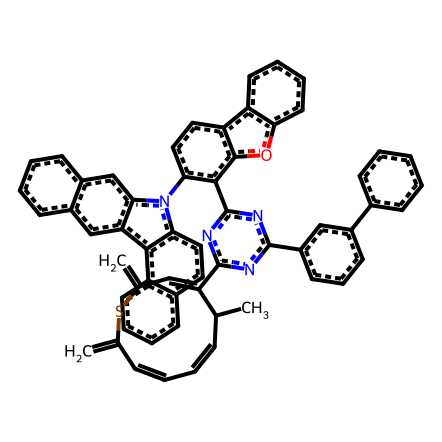 C=C1/C=C\C=C/C(C)/C(c2nc(-c3cccc(-c4ccccc4)c3)nc(-c3c(-n4c5cc6ccccc6cc5c5c6ccccc6ccc54)ccc4c3oc3ccccc34)n2)=C\C(=C)S1